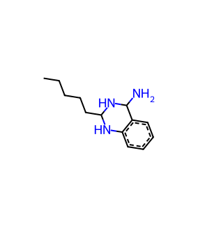 CCCCCC1Nc2ccccc2C(N)N1